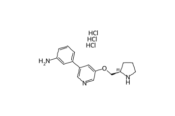 Cl.Cl.Cl.Nc1cccc(-c2cncc(OC[C@H]3CCCN3)c2)c1